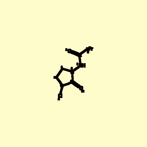 CCCC(=O)NN1CCC(Cl)C1=O